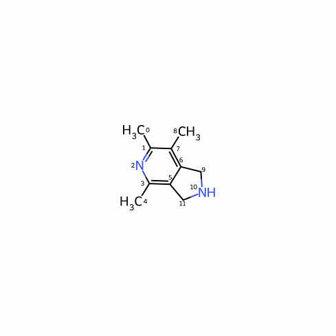 Cc1nc(C)c2c(c1C)CNC2